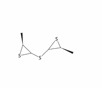 C[C@@H]1SC1SC1S[C@H]1C